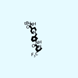 CC(C)(C)NC(=O)C1CCN(Cc2cccc(NC(=O)c3cc(C(F)(F)F)ccn3)c2)CC1